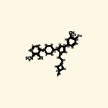 CCc1c(N)ncnc1N1CCC(c2cc(-c3ccc(F)c(C)c3)cn2CCN2CC(F)C2)CC1